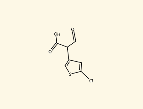 O=CC(C(=O)O)c1csc(Cl)c1